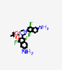 CC(C)(C)OC(=O)N1CCN(c2cc(F)c3c(c2F)CCC(N)C3)CC1c1cc(F)c2c(c1F)CCC(N)C2